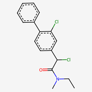 CCN(C)C(=O)C(Cl)c1ccc(-c2ccccc2)c(Cl)c1